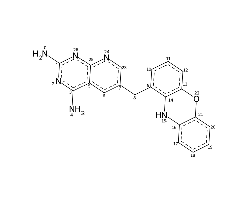 Nc1nc(N)c2cc(Cc3cccc4c3Nc3ccccc3O4)cnc2n1